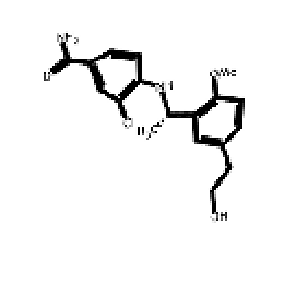 COc1ccc(CCO)cc1[C@H](C)Nc1ccc(C(N)=O)cc1Cl